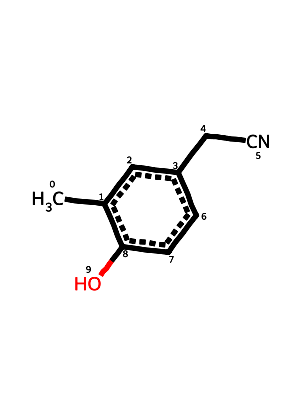 Cc1cc(CC#N)ccc1O